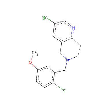 Fc1ccc(OC(F)(F)F)cc1CN1CCc2ncc(Br)cc2C1